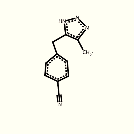 [CH2]c1nn[nH]c1Cc1ccc(C#N)cc1